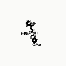 COc1ccc(C[C@@H](CN)NC(=O)/C=C/c2c[nH]c3ncccc23)cc1.Cl.Cl